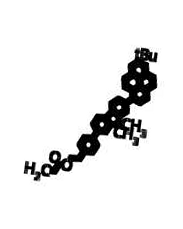 C=CC(=O)OCCc1ccc(-c2ccc3c(c2)C(C)(C)c2cc(-c4ccc5ccc6cc(C(C)(C)C)cc7ccc4c5c67)ccc2-3)cc1